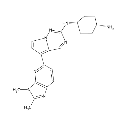 Cc1nc2ccc(-c3ccn4nc(N[C@H]5CC[C@@H](N)CC5)ncc34)nc2n1C